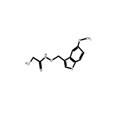 CCC(=O)NOCc1csc2ccc(OC)cc12